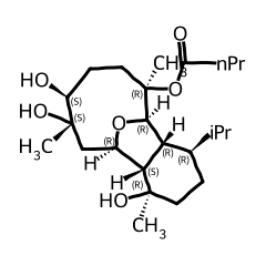 CCCC(=O)O[C@]1(C)CC[C@H](O)[C@@](C)(O)C[C@H]2O[C@@H]1[C@H]1[C@@H]2[C@](C)(O)CC[C@@H]1C(C)C